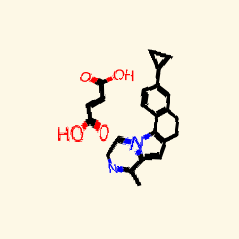 CC1=NCCn2c1cc1c2-c2ccc(C3CC3)cc2CC1.O=C(O)/C=C/C(=O)O